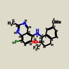 COc1ccc2c(c1)[C@H](Nc1ccc(F)c3nc(C)ncc13)[C@@](O)(C(F)(F)F)CC2